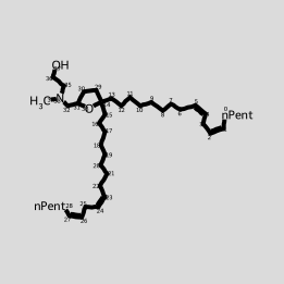 CCCCC/C=C\C/C=C\CCCCCCCCC1(CCCCCCCC/C=C\C/C=C\CCCCC)CCC(CN(C)CCO)O1